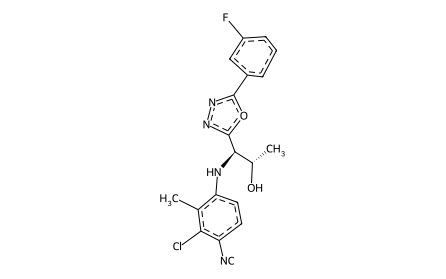 [C-]#[N+]c1ccc(N[C@@H](c2nnc(-c3cccc(F)c3)o2)[C@H](C)O)c(C)c1Cl